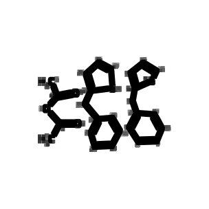 CC(=O)OC(C)=O.c1ccc(Cc2cccs2)cc1.c1ccc(Cc2cccs2)cc1